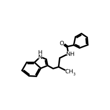 CC(CNC(=O)c1ccccc1)Cc1c[nH]c2ccccc12